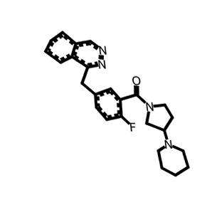 O=C(c1cc(Cc2nncc3ccccc23)ccc1F)N1CCC(N2CCCCC2)C1